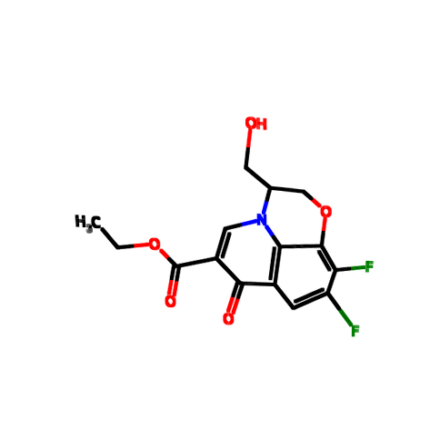 CCOC(=O)c1cn2c3c(c(F)c(F)cc3c1=O)OCC2CO